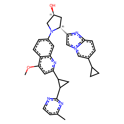 COc1cc(C2CC2c2nccc(C)n2)nc2cc(N3C[C@@H](O)C[C@@H]3c3cn4cc(C5CC5)ccc4n3)ccc12